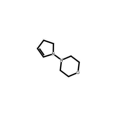 C1=CN(N2CCOCC2)CC1